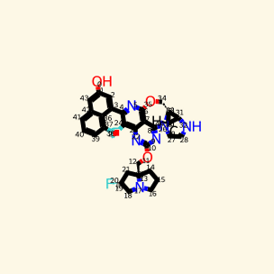 Oc1cc(-c2nc3c4c(nc(OC[C@@]56CCCN5C[C@H](F)C6)nc4c2F)N2CC4C[C@H]5C(N4)[C@@]52CO3)c2c(F)cccc2c1